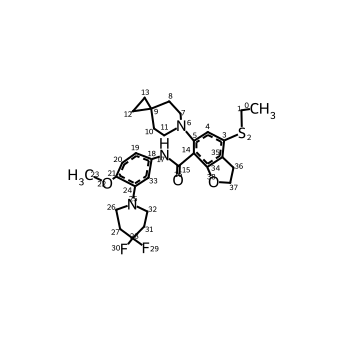 CCSc1cc(N2CCC3(CC2)CC3)c(C(=O)Nc2ccc(OC)c(N3CCC(F)(F)CC3)c2)c2c1CCO2